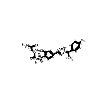 COc1cc(-c2nnn(C(C)c3ccc(F)cc3)n2)ccc1S(=O)(=O)NC(=O)OCC(N)=O